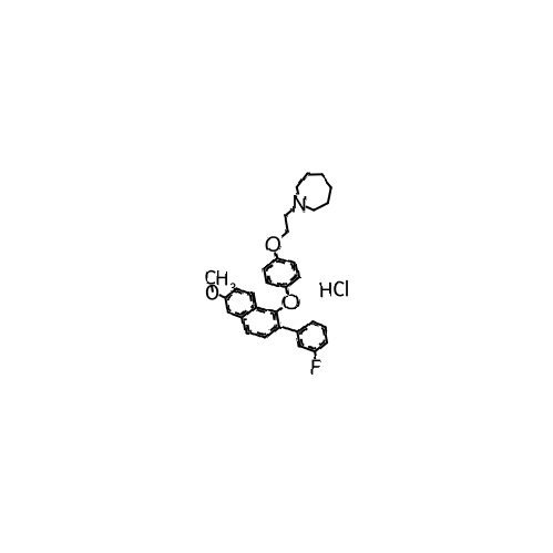 COc1ccc2c(Oc3ccc(OCCN4CCCCCC4)cc3)c(-c3cccc(F)c3)ccc2c1.Cl